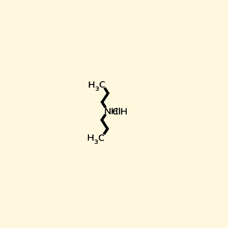 CCCNCCC.Cl